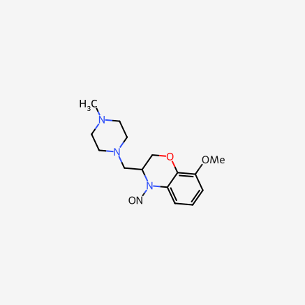 COc1cccc2c1OCC(CN1CCN(C)CC1)N2N=O